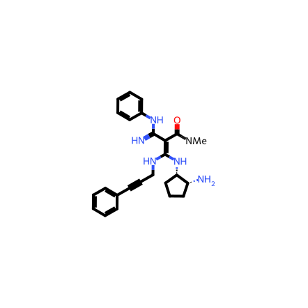 CNC(=O)/C(C(=N)Nc1ccccc1)=C(/NCC#Cc1ccccc1)N[C@H]1CCC[C@H]1N